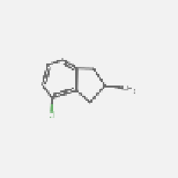 CC1Cc2cccc(Cl)c2C1